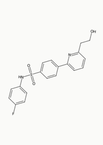 O=S(=O)(Nc1ccc(F)cc1)c1ccc(-c2cccc(CCO)n2)cc1